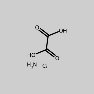 N.O=C(O)C(=O)O.[C]